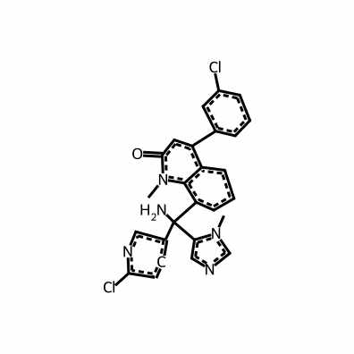 Cn1cncc1C(N)(c1ccc(Cl)nc1)c1cccc2c(-c3cccc(Cl)c3)cc(=O)n(C)c12